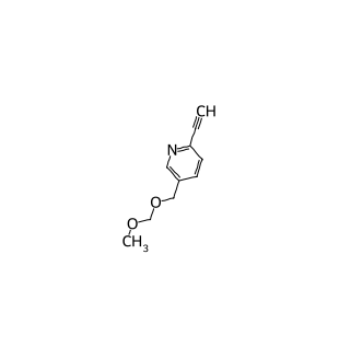 C#Cc1ccc(COCOC)cn1